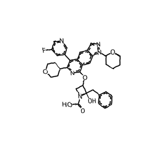 O=C(O)N1CC(Oc2nc(C3CCOCC3)c(-c3cncc(F)c3)c3cc4cnn(C5CCCCO5)c4cc23)C1(O)Cc1ccccc1